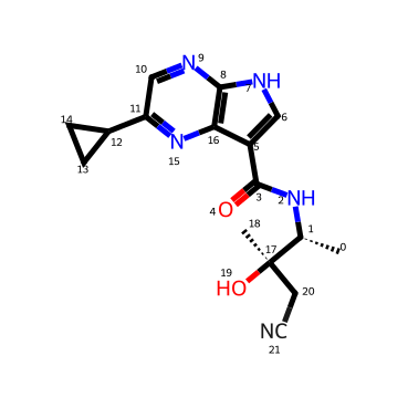 C[C@@H](NC(=O)c1c[nH]c2ncc(C3CC3)nc12)[C@](C)(O)CC#N